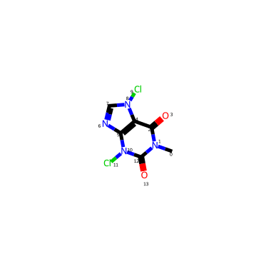 Cn1c(=O)c2c(ncn2Cl)n(Cl)c1=O